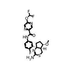 CO[C@H]1CC[C@]2(c3cc(NC(=O)c4cnc(OC(F)F)cn4)ccc3F)N=C(N)SC[C@H]12